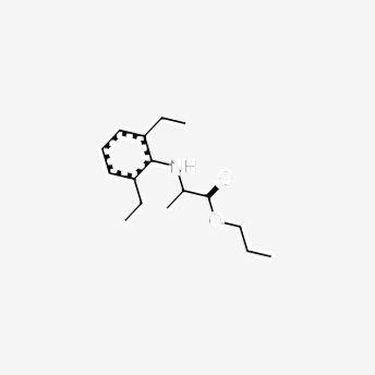 CCCOC(=O)C(C)Nc1c(CC)cccc1CC